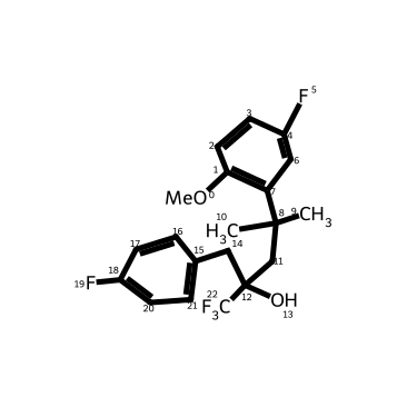 COc1ccc(F)cc1C(C)(C)CC(O)(Cc1ccc(F)cc1)C(F)(F)F